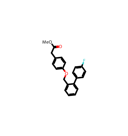 COC(=O)Cc1ccc(OCc2ccccc2-c2ccc(F)cc2)cc1